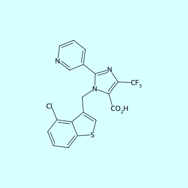 O=C(O)c1c(C(F)(F)F)nc(-c2cccnc2)n1Cc1csc2cccc(Cl)c12